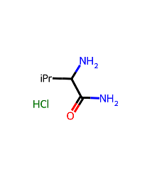 CC(C)C(N)C(N)=O.Cl